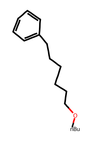 CCCCOCCCCCCc1ccccc1